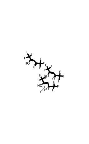 O.O=C(C=C(O)C(F)(F)F)C(F)(F)F.O=C(C=C(O)C(F)(F)F)C(F)(F)F.O=C(C=C(O)C(F)(F)F)C(F)(F)F.[Y]